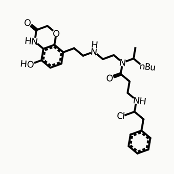 CCCCC(C)N(CCNCCc1ccc(O)c2c1OCC(=O)N2)C(=O)CCNC(Cl)Cc1ccccc1